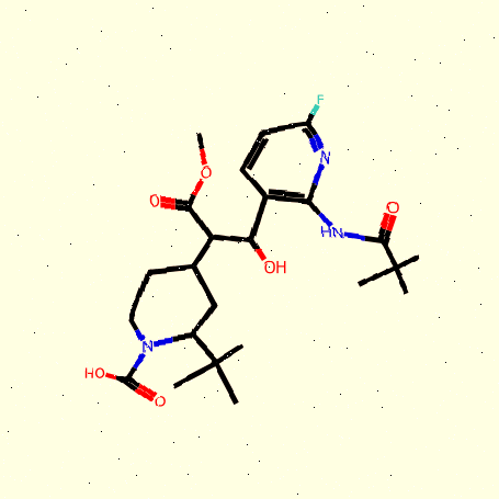 COC(=O)C(C1CCN(C(=O)O)C(C(C)(C)C)C1)C(O)c1ccc(F)nc1NC(=O)C(C)(C)C